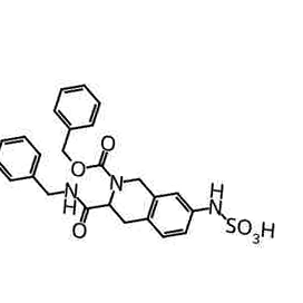 O=C(NCc1ccccc1)C1Cc2ccc(NS(=O)(=O)O)cc2CN1C(=O)OCc1ccccc1